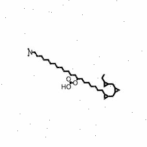 CCC1CC1CC1CC1CC1CC1CCCCCCCC(CCCCCCCCCCCCCN(C)C)OC(=O)O